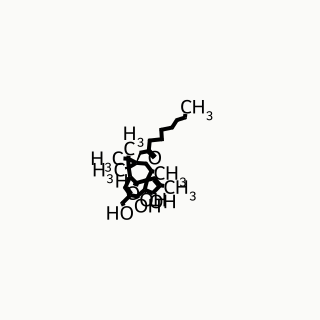 CCCCCCCC(=O)C[C@@]12CC(C)C34C=C(C)C(O)[C@@]3(O)C(O)C(CO)=C[C@H](C4=O)[C@]1(C)C2(C)C